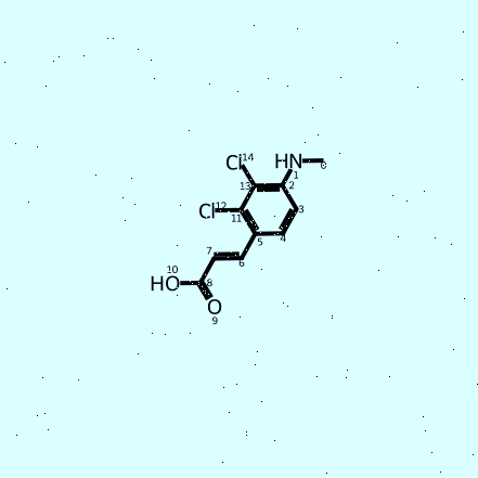 CNc1ccc(/C=C/C(=O)O)c(Cl)c1Cl